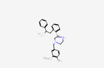 COc1cc(CN2CCN[C@H](c3ccccc3CC(C)c3ccccc3)C2)ccc1C(C)C